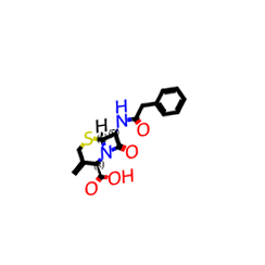 C=C1CS[C@H]2[C@H](NC(=O)Cc3ccccc3)C(=O)N2[C@H]1C(=O)O